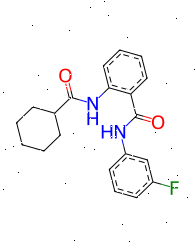 O=C(Nc1cccc(F)c1)c1ccccc1NC(=O)C1CCCCC1